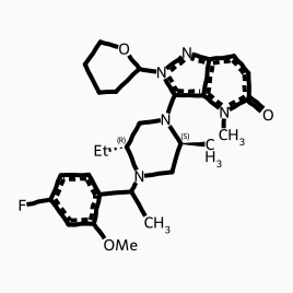 CC[C@@H]1CN(c2c3c(ccc(=O)n3C)nn2C2CCCCO2)[C@@H](C)CN1C(C)c1ccc(F)cc1OC